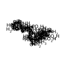 CC(C)[C@H](NC(=O)CNC(=O)[C@H](CC(N)=O)NC(=O)[C@H](CCC(=O)O)NC(=O)[C@H](C)NC(=O)[C@@H]1CCCN1C(=O)[C@H](Cc1ccccc1)NC(=O)[C@H](C)NC(=O)[C@@H](NC(=O)[C@H](CO)NC(=O)CN)C(C)C)C(=O)N[C@@H](CCC(N)=O)C(=O)N[C@@H](CC(N)=O)C(=O)N[C@H](C(=O)N[C@@H](CCC(=O)O)C(=O)N[C@@H](CO)C(=O)N[C@H](C(=O)N[C@@H](CCC(N)=O)C(=O)N[C@@H](CCC(=O)O)C(=O)O)[C@@H](C)O)[C@@H](C)O